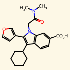 CN(C)C(=O)Cn1c(-c2ccoc2)c(C2CCCCC2)c2ccc(C(=O)O)cc21